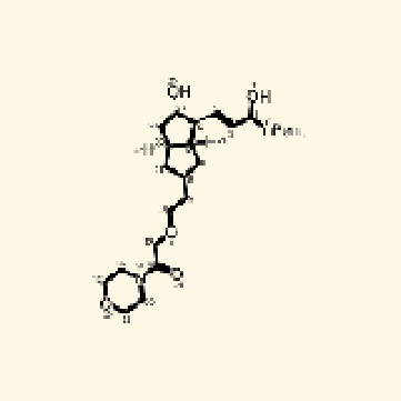 CCCCCC(O)C=C[C@H]1[C@@H]2CC(CCOCC(=O)N3CCOCC3)C[C@H]2C[C@@H]1O